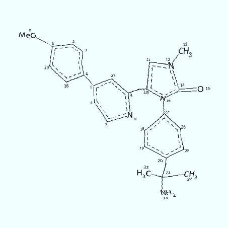 COc1ccc(-c2ccnc(-c3cn(C)c(=O)n3-c3ccc(C(C)(C)N)cc3)c2)cc1